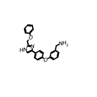 NCc1cccc(Oc2ccc(-c3c[nH]c(COc4ccccc4)n3)cc2)c1